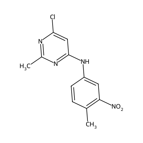 Cc1nc(Cl)cc(Nc2ccc(C)c([N+](=O)[O-])c2)n1